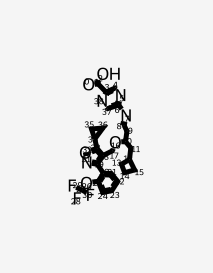 O=C(O)c1cnc(/N=C/CC(CC2CCC2)OCc2c(-c3ccccc3OC(F)(F)F)noc2C2CC2)cn1